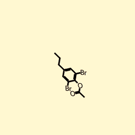 CCCc1cc(Br)c(OC(C)=O)c(Br)c1